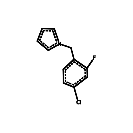 Fc1cc(Cl)ccc1Cn1cccc1